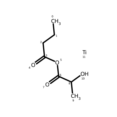 CCCC(=O)OC(=O)C(C)O.[Ti]